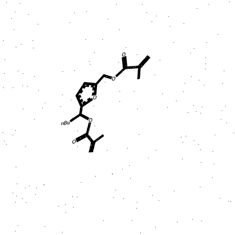 C=C(C)C(=O)OCc1ccc(C(CCCC)OC(=O)C(=C)C)o1